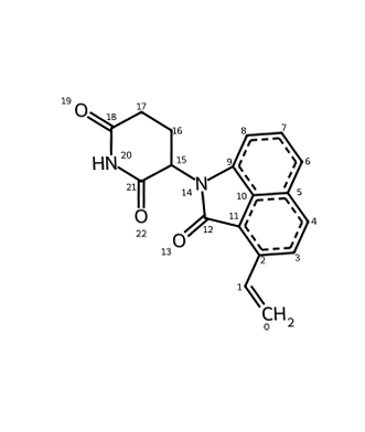 C=Cc1ccc2cccc3c2c1C(=O)N3C1CCC(=O)NC1=O